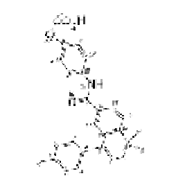 Cc1ccc(C2=CCC(C)(C)c3ccc(C(=O)Nc4ccc(OC(=O)O)cc4)cc32)cc1